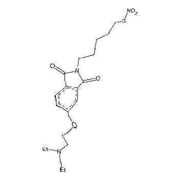 CCN(CC)CCOc1ccc2c(c1)C(=O)N(CCCCCO[N+](=O)[O-])C2=O